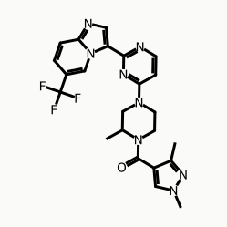 Cc1nn(C)cc1C(=O)N1CCN(c2ccnc(-c3cnc4ccc(C(F)(F)F)cn34)n2)CC1C